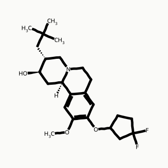 COc1cc2c(cc1OC1CCC(F)(F)C1)CCN1C[C@@H](CC(C)(C)C)[C@H](O)C[C@H]21